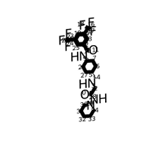 O=C(CNC[C@H]1CC[C@H](NC(=O)c2cc(C(F)(F)F)cc(C(F)(F)F)c2)CC1)NN1CCCCC1